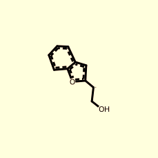 OC[CH]c1cc2ccccc2o1